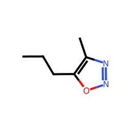 CCCc1onnc1C